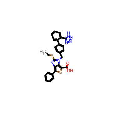 CCSc1nc2c(-c3ccccc3)sc(C(=O)O)c2n1Cc1ccc(-c2ccccc2-c2nnn[nH]2)cc1